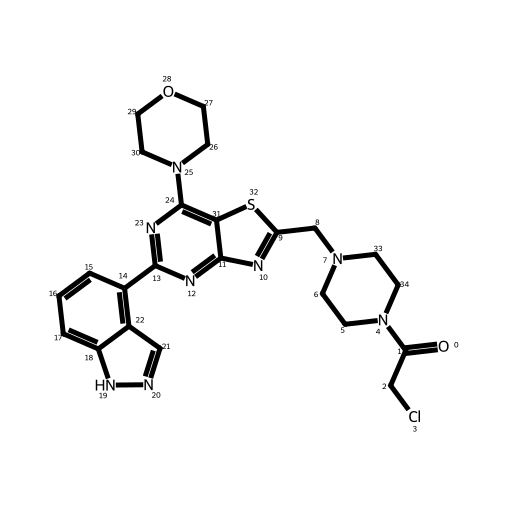 O=C(CCl)N1CCN(Cc2nc3nc(-c4cccc5[nH]ncc45)nc(N4CCOCC4)c3s2)CC1